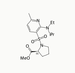 CCN(c1nc(C)ccc1S(=O)(=O)N1CCC[C@H]1C(=O)OC)C(C)C